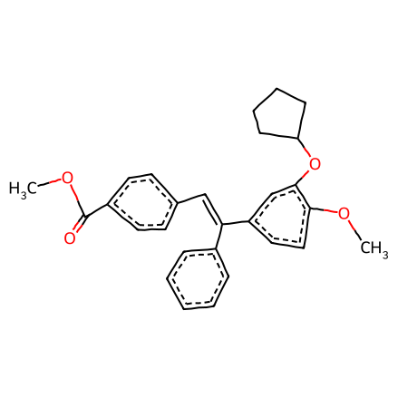 COC(=O)c1ccc(/C=C(\c2ccccc2)c2ccc(OC)c(OC3CCCC3)c2)cc1